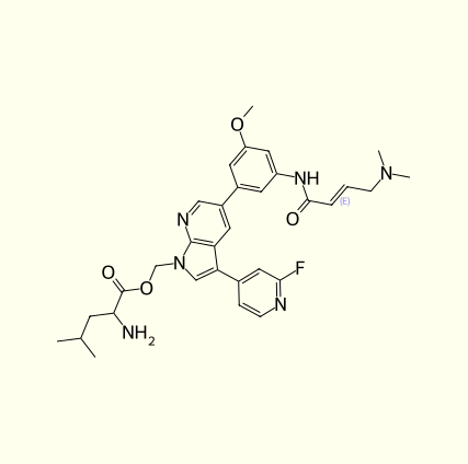 COc1cc(NC(=O)/C=C/CN(C)C)cc(-c2cnc3c(c2)c(-c2ccnc(F)c2)cn3COC(=O)C(N)CC(C)C)c1